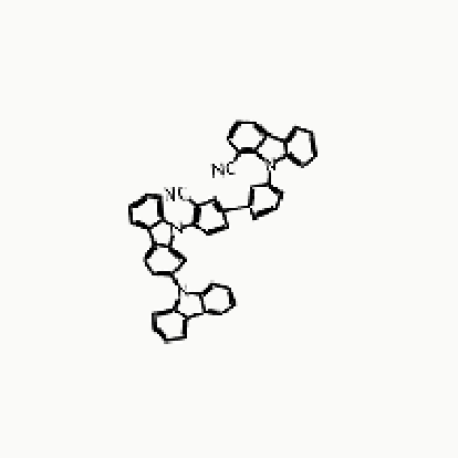 N#Cc1cc(-c2cccc(-n3c4ccccc4c4cccc(C#N)c43)c2)ccc1-n1c2ccccc2c2ccc(-n3c4ccccc4c4ccccc43)cc21